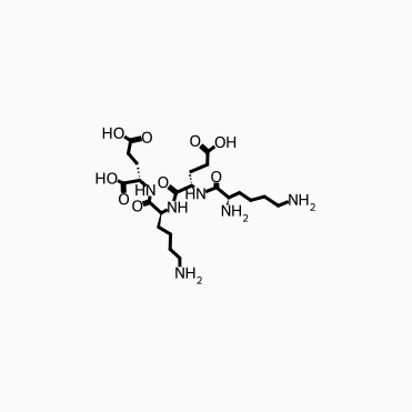 NCCCC[C@H](NC(=O)[C@H](CCC(=O)O)NC(=O)[C@@H](N)CCCCN)C(=O)N[C@@H](CCC(=O)O)C(=O)O